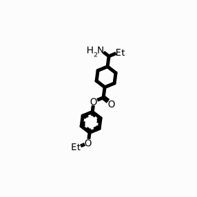 CCOc1ccc(OC(=O)C2CCC(C(N)CC)CC2)cc1